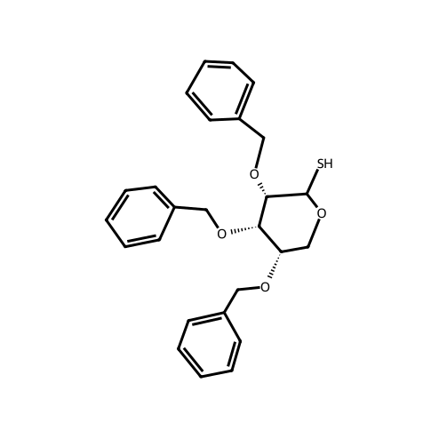 SC1OC[C@H](OCc2ccccc2)[C@H](OCc2ccccc2)[C@@H]1OCc1ccccc1